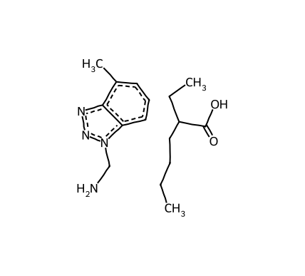 CCCCC(CC)C(=O)O.Cc1cccc2c1nnn2CN